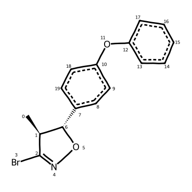 C[C@@H]1C(Br)=NO[C@H]1c1ccc(Oc2ccccc2)cc1